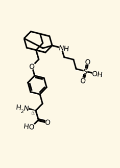 N[C@@H](Cc1ccc(OCC23CC4CC(C2)CC(NCCCS(=O)(=O)O)(C4)C3)cc1)C(=O)O